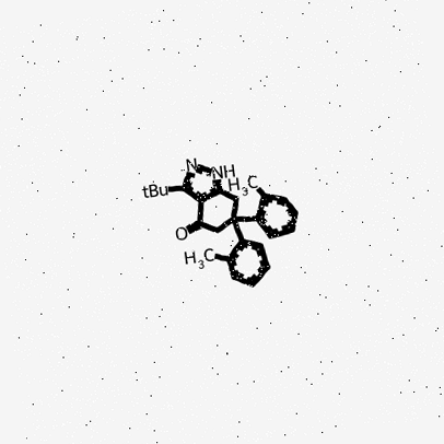 Cc1ccccc1C1(c2ccccc2C)CC(=O)c2c(C(C)(C)C)n[nH]c2C1